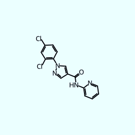 O=C(Nc1ccccn1)c1cnn(-c2ccc(Cl)cc2Cl)c1